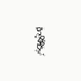 COC[C@@]1(O)CC[C@H]2[C@H](CC[C@@H]3[C@@H]2CC[C@]2(C)[C@@H](C(=O)CN4C=NCN4)CC[C@@H]32)C1